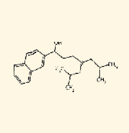 CC(C)CN(CCC(O)c1ccc2ccccc2c1)CC(C)C